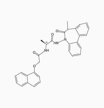 CC1C(=O)N(NC(=O)[C@H](C)NC(=O)COc2cccc3ccccc23)c2ccccc2-c2ccccc21